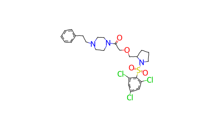 O=C(COCC1CCCN1S(=O)(=O)c1c(Cl)cc(Cl)cc1Cl)N1CCN(CCc2ccccc2)CC1